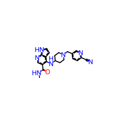 CNC(=O)c1cnc2[nH]ccc2c1NC1CCN(Cc2ccc(C#N)nc2)CC1